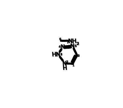 C1=CNNN=N1.CN